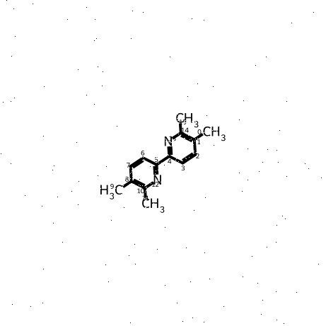 Cc1ccc(-c2ccc(C)c(C)n2)nc1C